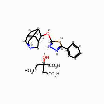 O=C(O)CC(O)(CC(=O)O)C(=O)O.c1ccc(-c2nnc(OC3C4CC5CC3CN(C5)C4)s2)cc1